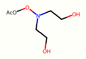 CC(=O)OON(CCO)CCO